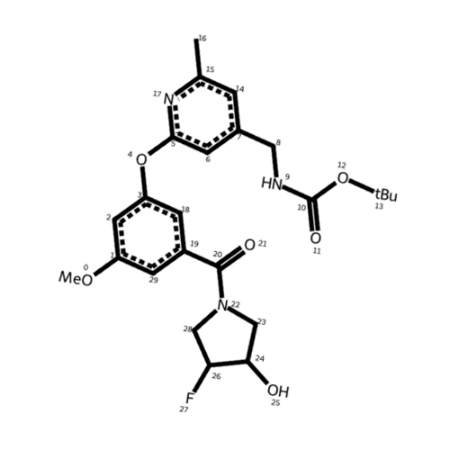 COc1cc(Oc2cc(CNC(=O)OC(C)(C)C)cc(C)n2)cc(C(=O)N2CC(O)C(F)C2)c1